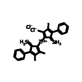 CC1=[C]([Zr+2][C]2=C(C)C(C)=C(c3ccccc3)C2=[SiH2])C(=[SiH2])C(c2ccccc2)=C1C.[Cl-].[Cl-]